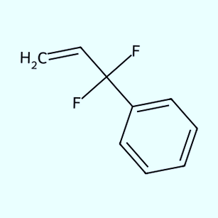 C=CC(F)(F)c1ccccc1